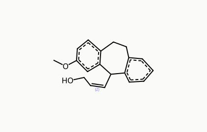 COc1ccc2c(c1)C(/C=C\CO)c1ccccc1CC2